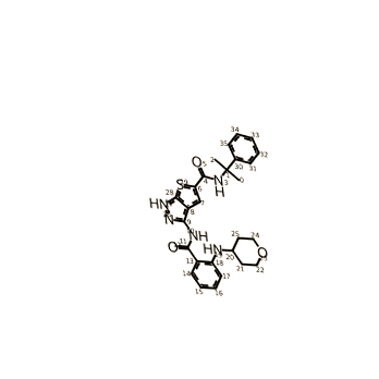 CC(C)(NC(=O)c1cc2c(NC(=O)c3ccccc3NC3CCOCC3)n[nH]c2s1)c1ccccc1